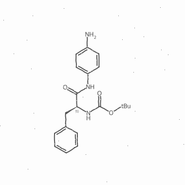 CC(C)(C)OC(=O)N[C@@H](Cc1ccccc1)C(=O)Nc1ccc(N)cc1